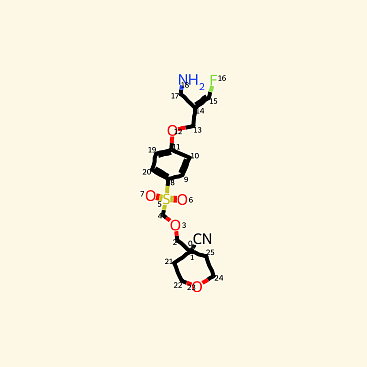 N#CC1(COCS(=O)(=O)c2ccc(OCC(=CF)CN)cc2)CCOCC1